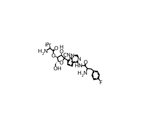 CC(C)C(N)C(=O)O[C@H]1[C@@H](O)[C@](C#N)(c2ccc3c(NC(=O)C(N)Cc4ccc(F)cc4)ncnn23)O[C@@H]1CO